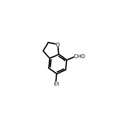 CCc1cc(C=O)c2c(c1)CCO2